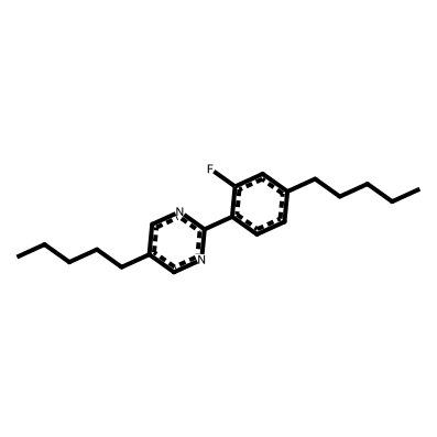 CCCCCc1cnc(-c2ccc(CCCCC)cc2F)nc1